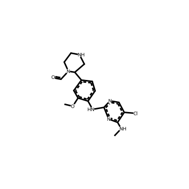 CNc1nc(Nc2ccc(C3CNCCN3C=O)cc2OC)ncc1Cl